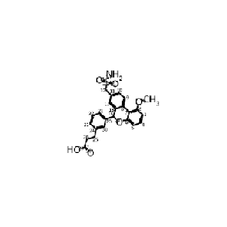 COc1cccc2c1-c1ccc(CS(N)(=O)=O)cc1C(c1cccc(CCC(=O)O)c1)O2